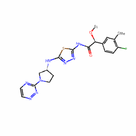 CCO[C@H](C(=O)Nc1nnc(N[C@@H]2CCN(c3nccnn3)C2)s1)c1ccc(F)c(OC)c1